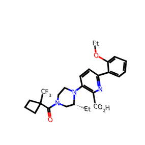 CCOc1ccccc1-c1ccc(N2CCN(C(=O)C3(C(F)(F)F)CCC3)C[C@H]2CC)c(C(=O)O)n1